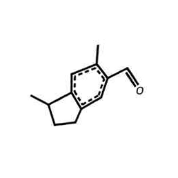 Cc1cc2c(cc1C=O)CCC2C